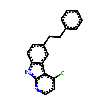 Clc1ccnc2[nH]c3ccc(CCc4ccccc4)cc3c12